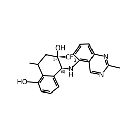 Cc1ncc2c(N[C@H]3c4cccc(O)c4C(C)C[C@@]3(O)C(F)(F)F)cccc2n1